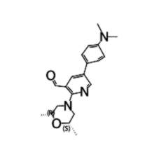 C[C@@H]1CN(c2ncc(-c3ccc(N(C)C)cc3)cc2C=O)C[C@H](C)O1